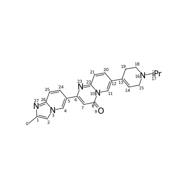 Cc1cn2cc(-c3cc(=O)n4cc(C5=CCN(C(C)C)CC5)ccc4n3)ccc2n1